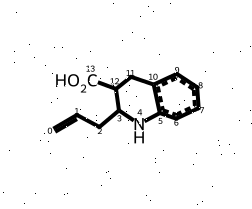 C=CCC1Nc2ccccc2CC1C(=O)O